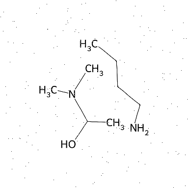 CC(O)N(C)C.CCCCN